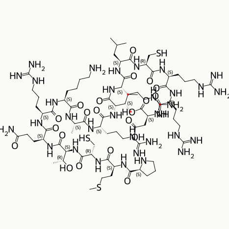 CC[C@H](C)[C@H](NC(=O)[C@H](CCCNC(=N)N)NC(=O)[C@H](C)NC(=O)[C@H](CCCCN)NC(=O)[C@H](CCCNC(=N)N)NC(=O)[C@H](CCC(N)=O)NC(=O)[C@@H](NC(=O)[C@H](CS)NC(=O)[C@H](CCSC)NC(=O)[C@@H]1CCCN1)[C@@H](C)O)C(=O)N[C@@H](CCCNC(=N)N)C(=O)N[C@@H](CC(C)C)C(=O)N[C@@H](CS)C(=O)N[C@@H](CCCNC(=N)N)C(=O)N[C@@H](CCCNC(=N)N)C(=O)N[C@@H](CC(=O)O)C(=O)O